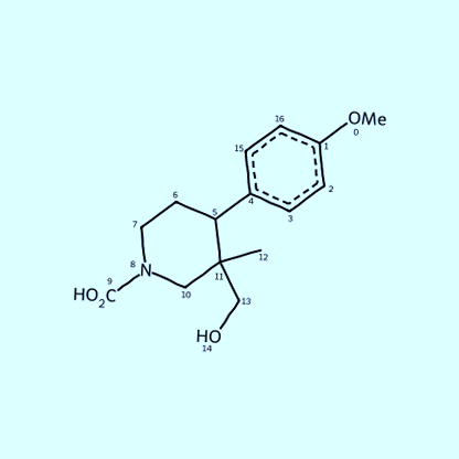 COc1ccc(C2CCN(C(=O)O)CC2(C)CO)cc1